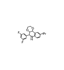 CC(C)c1ccc2c(c1)C1OCCOC1C(c1cc(F)cc(F)c1)N2